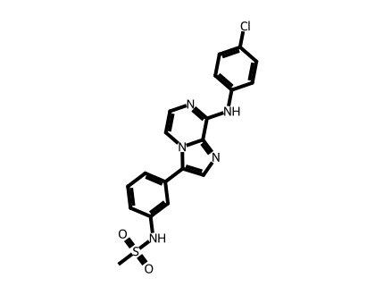 CS(=O)(=O)Nc1cccc(-c2cnc3c(Nc4ccc(Cl)cc4)nccn23)c1